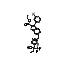 CCOC(=O)c1cc2cc(Cn3cc(C(O)(CC)C(F)(F)F)nn3)ccn2c1-c1cccc(F)c1